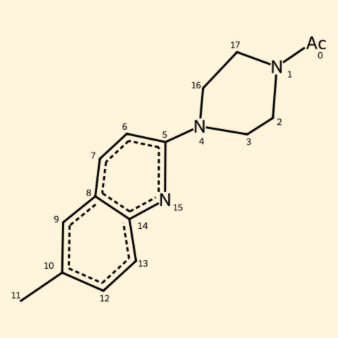 CC(=O)N1CCN(c2ccc3cc(C)ccc3n2)CC1